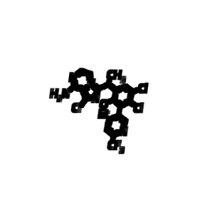 CCOc1c(C(C)c2nc(Cl)c3c(N)nccn23)cc(Cl)c(Cl)c1-c1ccc(C(F)(F)F)nc1